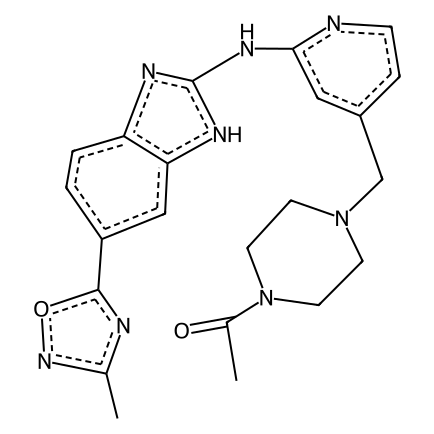 CC(=O)N1CCN(Cc2ccnc(Nc3nc4ccc(-c5nc(C)no5)cc4[nH]3)c2)CC1